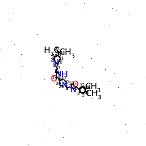 Cc1ccc(-c2nc(CN3CCC(C(=O)NCCCN4CCC(C(C)C)CC4)CC3)co2)cc1C